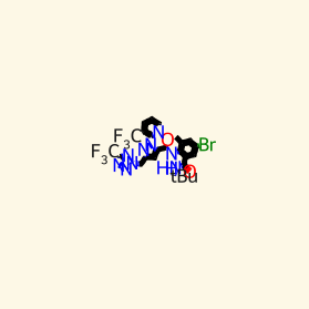 Cc1cc(Br)cc(C(=O)NC(C)(C)C)c1NC(=O)c1cc(Cn2nnc(C(F)(F)F)n2)nn1-c1ncccc1C(F)(F)F